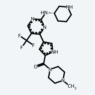 CN1CCN(C(=O)c2cc(-c3nc(N[C@H]4CCCNC4)ncc3C(F)(F)F)c[nH]2)CC1